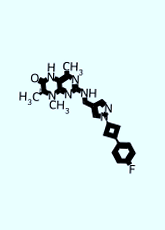 Cc1nc(NCc2cnn([C@H]3C[C@H](c4ccc(F)cc4)C3)c2)nc2c1NC(=O)[C@H](C)N2C